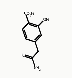 NC(=O)Cc1ccc(C(=O)O)c(O)c1